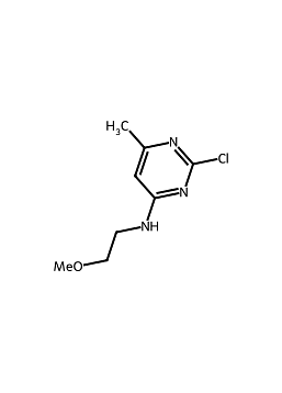 COCCNc1cc(C)nc(Cl)n1